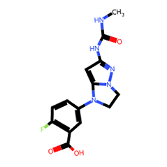 CNC(=O)Nc1cc2n(n1)CCN2c1ccc(F)c(C(=O)O)c1